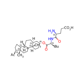 CCC(C)[C@H](NC(=O)[C@@H](N)CCC(=O)O)C(=O)O[C@@H]1CC[C@@]2(C)[C@@H](CC[C@@H]3[C@@H]2CC[C@]2(C)[C@@H](C(C)=O)CC[C@@H]32)C1